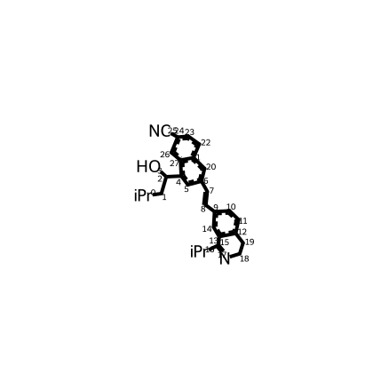 CC(C)CC(O)c1cc(/C=C/c2ccc3c(c2)C(C(C)C)=NCC3)cc2ccc(C#N)cc12